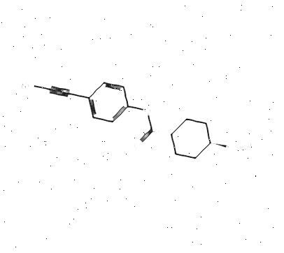 CCCCCCC[C@H]1CC[C@H](C(=O)Oc2ccc(C#CC#N)cc2)CC1